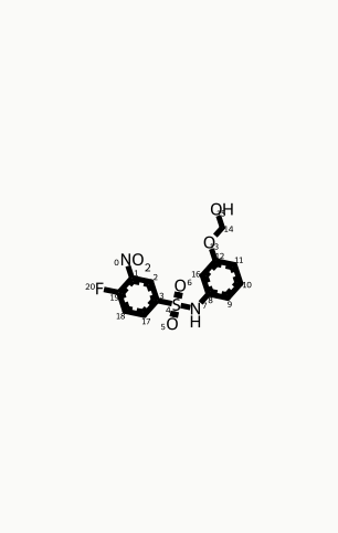 O=[N+]([O-])c1cc(S(=O)(=O)Nc2cccc(OCO)c2)ccc1F